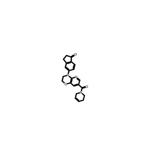 O=C1CCc2cc(N3CCOc4cc(C(=O)N5CC=CCC5)cnc43)ccc21